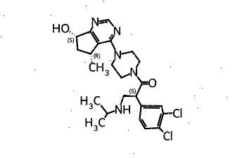 CC(C)NC[C@@H](C(=O)N1CCN(c2ncnc3c2[C@H](C)C[C@@H]3O)CC1)c1ccc(Cl)c(Cl)c1